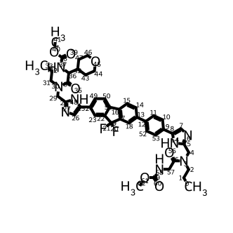 CCCN(Cc1ncc(-c2ccc(-c3ccc4c(c3)C(F)(F)c3cc(-c5cnc(CN(CCC)C(=O)C(NC(=O)OC)C6CCOCC6)[nH]5)ccc3-4)cc2)[nH]1)C(=O)CNC(=O)OC